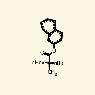 CCCCCCC(C)(CCCC)C(=O)Oc1ccc2ccccc2c1